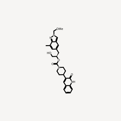 COCn1cc2cc(C[C@H](CO)OC(=O)N3CCC(c4cc5ccccc5[nH]c4=O)CC3)cc(C)c2n1